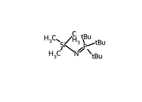 CC(C)(C)P(=N[Si](C)(C)C)(C(C)(C)C)C(C)(C)C